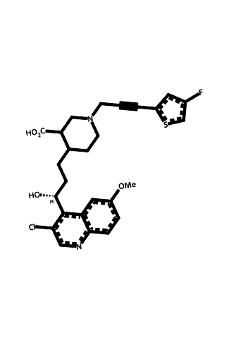 COc1ccc2ncc(Cl)c([C@H](O)CCC3CCN(CC#Cc4cc(F)cs4)CC3C(=O)O)c2c1